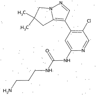 CC1(C)Cc2c(-c3cc(NC(=O)NCCCN)ncc3Cl)cnn2C1